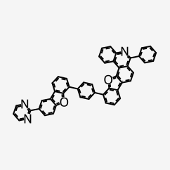 c1ccc(-c2nc3ccccc3c3c2ccc2c4cccc(-c5ccc(-c6cccc7c6oc6ccc(-c8ncccn8)cc67)cc5)c4oc23)cc1